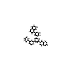 C1=Cc2ccc(-c3nc(-c4cccc(-c5cccc6ccccc56)c4)cc(C4C=C(c5cccnc5)C=CC4)n3)cc2CC1